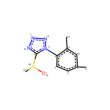 Cc1ccc(-n2nnnc2[S+](C)[O-])c(C)c1